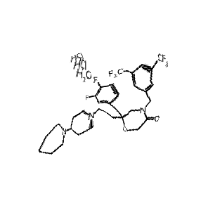 Cl.Cl.O.O=C1COC(CCN2CCC(N3CCCCC3)CC2)(c2ccc(F)c(F)c2)CN1Cc1cc(C(F)(F)F)cc(C(F)(F)F)c1